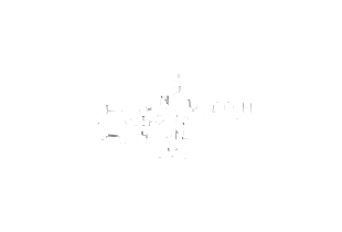 CSc1nn2c(CC(=O)O)cc(C)nc2c1S(=O)(=O)c1ccccc1